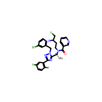 CC(C)(C)[C@H](c1nc(-c2cc(F)ccc2F)nn1Cc1cccc(Br)c1)N(CCC(N)CF)C(=O)c1cccnc1